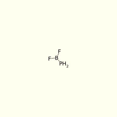 FB(F)P